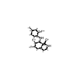 O=c1[nH]ccc2cc(F)c(F)c(Nc3ccc(I)cc3F)c12